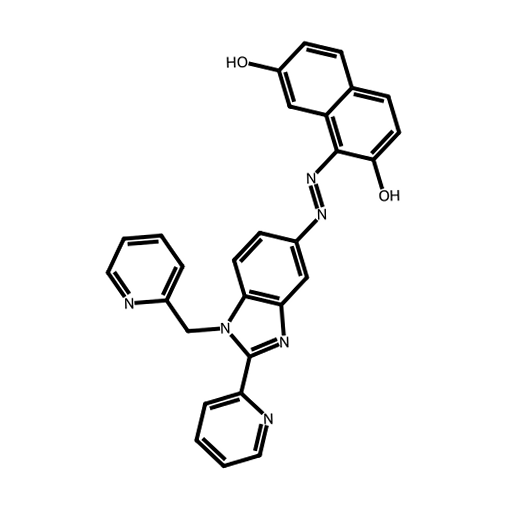 Oc1ccc2ccc(O)c(/N=N/c3ccc4c(c3)nc(-c3ccccn3)n4Cc3ccccn3)c2c1